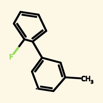 Cc1c[c]cc(-c2ccccc2F)c1